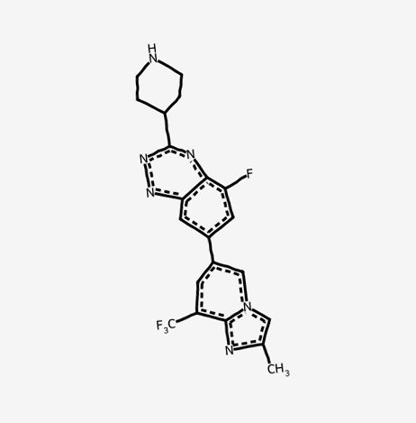 Cc1cn2cc(-c3cc(F)c4nc(C5CCNCC5)nnc4c3)cc(C(F)(F)F)c2n1